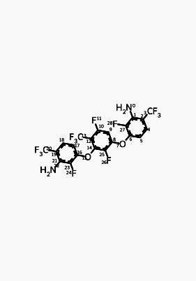 Nc1c(C(F)(F)F)ccc(Oc2cc(F)c(C(F)(F)F)c(Oc3ccc(C(F)(F)F)c(N)c3F)c2F)c1F